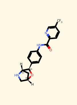 O=C(Nc1ccc([C@H]2O[C@@H]3CN[C@H]2C3)cc1)c1ccc(C(F)(F)F)cn1